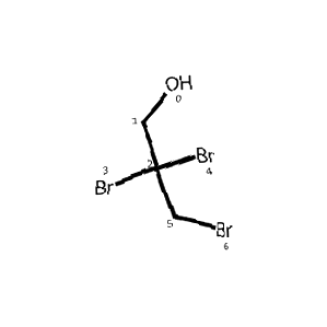 OCC(Br)(Br)CBr